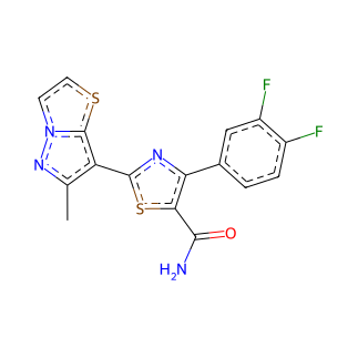 Cc1nn2ccsc2c1-c1nc(-c2ccc(F)c(F)c2)c(C(N)=O)s1